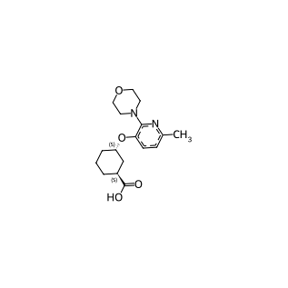 Cc1ccc(O[C@H]2CCC[C@H](C(=O)O)C2)c(N2CCOCC2)n1